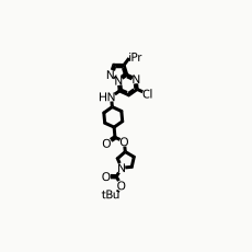 CC(C)c1cnn2c(NC3CCC(C(=O)OC4CCN(C(=O)OC(C)(C)C)C4)CC3)cc(Cl)nc12